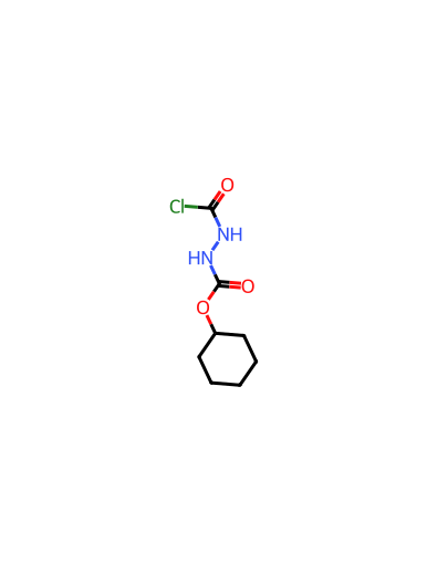 O=C(Cl)NNC(=O)OC1CCCCC1